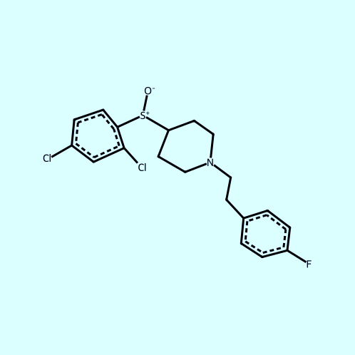 [O-][S+](c1ccc(Cl)cc1Cl)C1CCN(CCc2ccc(F)cc2)CC1